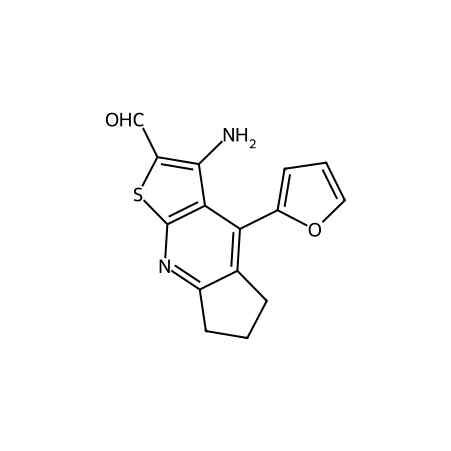 Nc1c(C=O)sc2nc3c(c(-c4ccco4)c12)CCC3